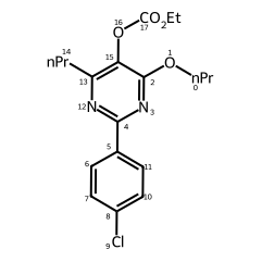 CCCOc1nc(-c2ccc(Cl)cc2)nc(CCC)c1OC(=O)OCC